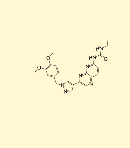 CCNC(=O)Nc1ccc2ncc(-c3cnn(Cc4ccc(OC)c(OC)c4)c3)nc2n1